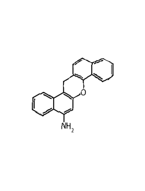 Nc1cc2c(c3ccccc13)Cc1ccc3ccccc3c1O2